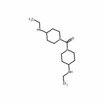 O=C(N1CCC(NCC(F)(F)F)CC1)N1CCC(NCC(F)(F)F)CC1